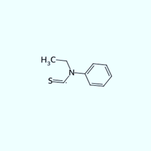 CCN([C]=S)c1ccccc1